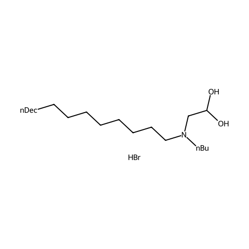 Br.CCCCCCCCCCCCCCCCCCN(CCCC)CC(O)O